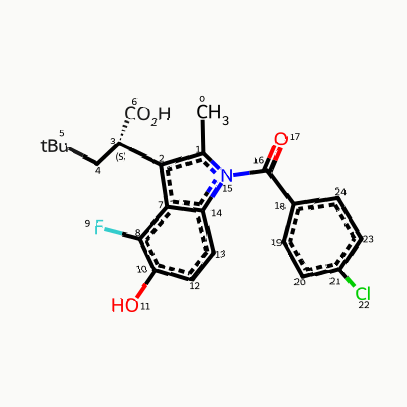 Cc1c([C@H](CC(C)(C)C)C(=O)O)c2c(F)c(O)ccc2n1C(=O)c1ccc(Cl)cc1